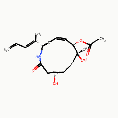 C=CC=C(C)[C@@H]1CC=C[C@H](OC(C)=O)[C@](C)(O)CC[C@@H](O)CC(=O)N1